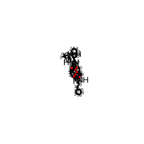 CC(C)(C)OC(=O)N1[C@H](c2nc3cc(-c4cc5ccc4CCc4ccc(c(-c6ccc7[nH]c(CCC8CCCCC8)nc7c6)c4)CC5)ccc3[nH]2)C[C@@H]2CCCC[C@@H]21